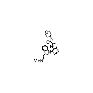 CNCCC1CN(c2ncnc(C)c2/N=C(\C)C(=O)NC2CCOCC2)c2ccccc21